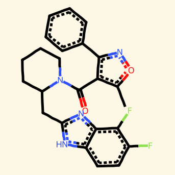 Cc1onc(-c2ccccc2)c1C(=O)N1CCCCC1Cc1nc2c(F)c(F)ccc2[nH]1